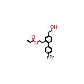 C=CC(=O)OCCc1cc(CCO)ccc1-c1ccc(CCC)cc1